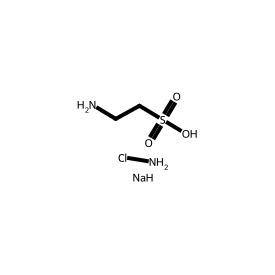 NCCS(=O)(=O)O.NCl.[NaH]